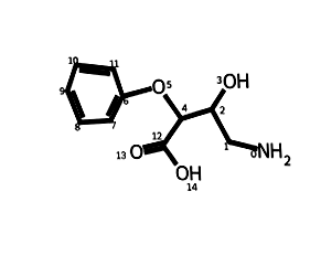 NCC(O)C(Oc1ccccc1)C(=O)O